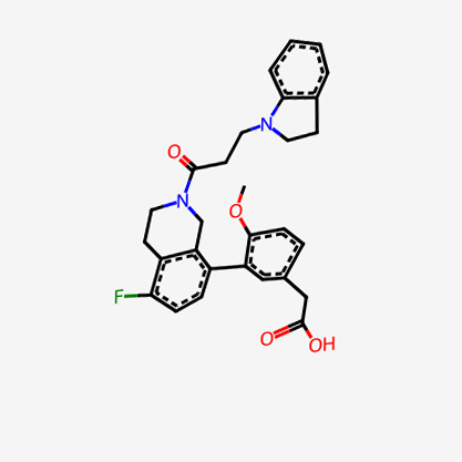 COc1ccc(CC(=O)O)cc1-c1ccc(F)c2c1CN(C(=O)CCN1CCc3ccccc31)CC2